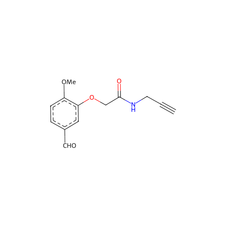 C#CCNC(=O)COc1cc(C=O)ccc1OC